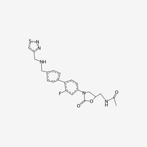 CC(=O)NCC1CN(c2ccc(-c3ccc(CNCc4csnn4)cc3)c(F)c2)C(=O)O1